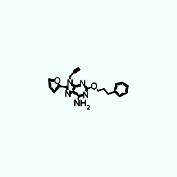 C#CCn1c(-c2ccco2)nc2c(N)nc(OCCCc3ccccc3)nc21